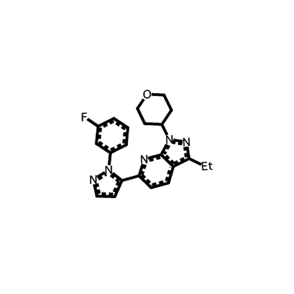 CCc1nn(C2CCOCC2)c2nc(-c3ccnn3-c3cccc(F)c3)ccc12